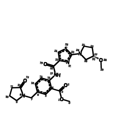 COC(=O)c1cc(CN2CCCC2=O)ccc1NC(=O)c1csc(N2CC[C@H](OC)C2)n1